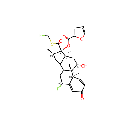 C[C@@H]1CC2C3C[C@H](F)C4=CC(=O)C=C[C@]4(C)[C@@]3(C)[C@@H](O)C[C@]2(C)[C@@]1(OC(=O)c1ccco1)C(=O)SCF